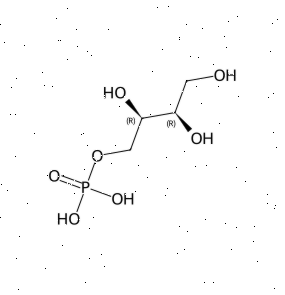 O=P(O)(O)OC[C@@H](O)[C@H](O)CO